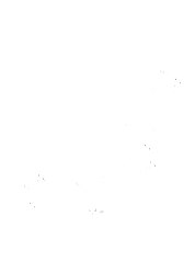 CCn1cc(-c2ccc3c(-c4cc(C)c(-c5cn(CC)nn5)c(OC)c4)cnn3c2)cn1